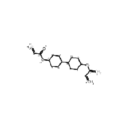 C=CC(=C)OC1CCC(C2CCC(OC(=O)C=C)CC2)CC1